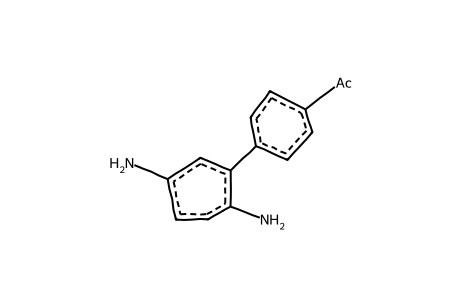 CC(=O)c1ccc(-c2cc(N)ccc2N)cc1